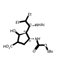 CCC(CC)[C@H](NC(C)=O)[C@@H]1C(O)C(C(=O)O)C[C@H]1NC(=O)OC(C)(C)C